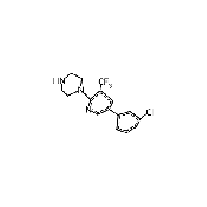 FC(F)(F)c1cc(-c2cccc(Cl)c2)cnc1N1CCNCC1